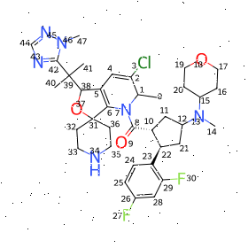 CC1C(Cl)=CC2=C(N1C(=O)[C@@H]1CC(N(C)C3CCOCC3)C[C@H]1c1ccc(F)cc1F)C1(CCNCC1)OC2C(C)(C)c1ncnn1C